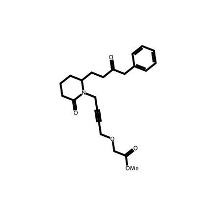 COC(=O)COCC#CCN1C(=O)CCCC1CCC(=O)Cc1ccccc1